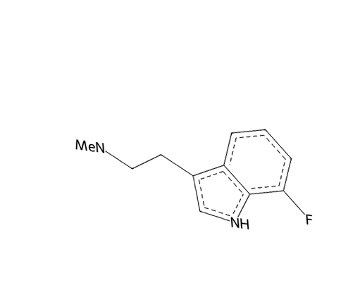 CNCCc1c[nH]c2c(F)cccc12